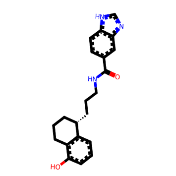 O=C(NCCC[C@H]1CCCc2c(O)cccc21)c1ccc2[nH]cnc2c1